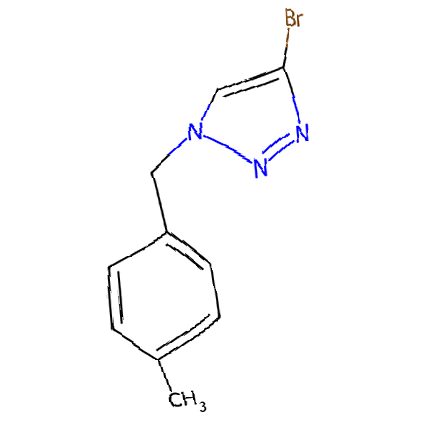 Cc1ccc(Cn2cc(Br)nn2)cc1